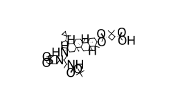 CC(NC(=O)OC(C)(C)C)C(CN[C@]12CC[C@@H](C3(C)CC3)[C@@H]1[C@H]1CC[C@@H]3[C@@]4(C)CC[C@H](OC(=O)[C@H]5C[C@@H](C(=O)O)C5(C)C)C(C)(C)[C@@H]4CC[C@@]3(C)[C@]1(C)CC2)N1CCS(=O)(=O)CC1